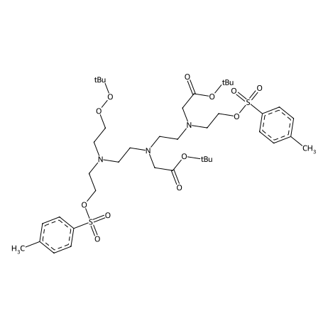 Cc1ccc(S(=O)(=O)OCCN(CCOOC(C)(C)C)CCN(CCN(CCOS(=O)(=O)c2ccc(C)cc2)CC(=O)OC(C)(C)C)CC(=O)OC(C)(C)C)cc1